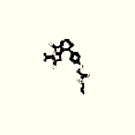 CCCNC(=O)COc1ccc(C2C=CC=C3C(=O)N4C(=C32)CC(=O)C4C(C)C)cc1